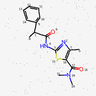 Cc1nc(NC(=O)C(C)c2ccccc2)sc1C(=O)N(C)C